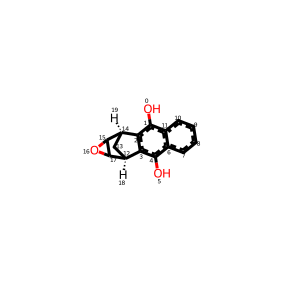 Oc1c2c(c(O)c3ccccc13)[C@@H]1C[C@H]2C2OC21